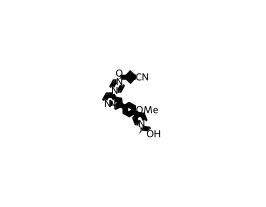 COC1(c2ccc(-c3cc4c(N5CCN(C(=O)C6CC(C#N)C6)CC5)ccnn4c3)cc2)CCN([C@@H](C)CO)CC1